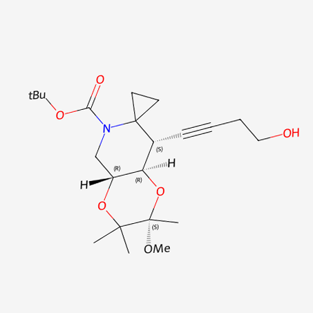 CO[C@@]1(C)O[C@@H]2[C@@H](C#CCCO)C3(CC3)N(C(=O)OC(C)(C)C)C[C@H]2OC1(C)C